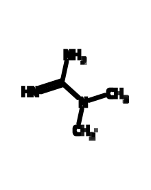 [CH2]N(C)C(=N)N